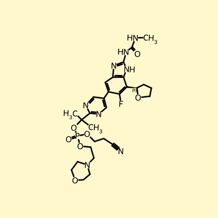 CNC(=O)Nc1nc2cc(-c3cnc(C(C)(C)OP(=O)(OCCC#N)OCCN4CCOCC4)nc3)c(F)c([C@H]3CCCO3)c2[nH]1